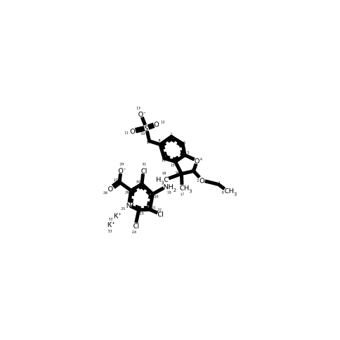 CCOC1Oc2ccc(CS(=O)(=O)[O-])cc2C1(C)C.Nc1c(Cl)c(Cl)nc(C(=O)[O-])c1Cl.[K+].[K+]